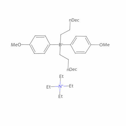 CCCCCCCCCCCC[B-](CCCCCCCCCCCC)(c1ccc(OC)cc1)c1ccc(OC)cc1.CC[N+](CC)(CC)CC